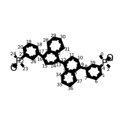 CP(C)(=O)c1cccc(-c2ccc(-c3ccc(-c4cccc(P(C)(C)=O)c4)c4ccccc34)c3ccccc23)c1